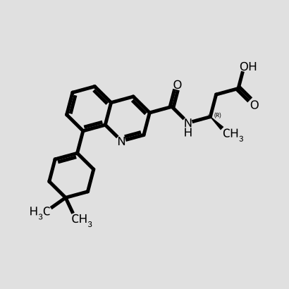 C[C@H](CC(=O)O)NC(=O)c1cnc2c(C3=CCC(C)(C)CC3)cccc2c1